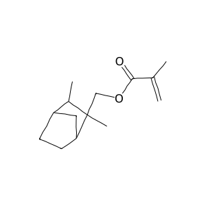 C=C(C)C(=O)OCC1(C)C2CCC(C2)C1C